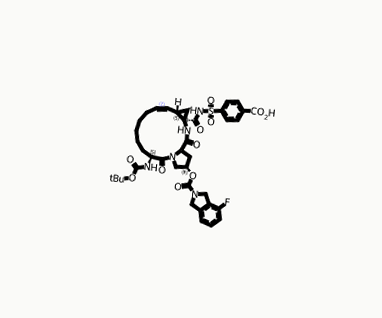 CC(C)(C)OC(=O)N[C@H]1CCCCC/C=C\[C@@H]2C[C@@]2(C(=O)NS(=O)(=O)c2ccc(C(=O)O)cc2)NC(=O)C2C[C@@H](OC(=O)N3Cc4cccc(F)c4C3)CN2C1=O